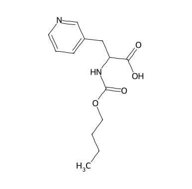 CCCCOC(=O)NC(Cc1cccnc1)C(=O)O